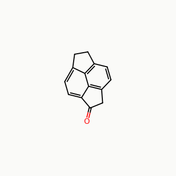 O=C1Cc2ccc3c4c(ccc1c24)CC3